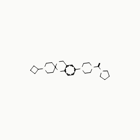 O=C(N1CCCC1)N1CCN(c2ccc3c(c2)COC2(CCN(C4CCC4)CC2)O3)CC1